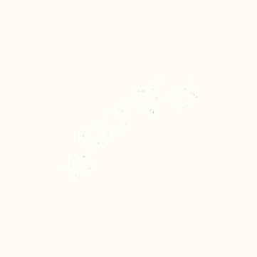 Cc1cc(C2=CC3=C(CN2)CN(Cc2cnc(-c4ccnc(C)c4)c(F)c2)C=C3)ccn1